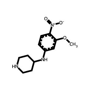 COc1cc(NC2CCNCC2)ccc1[N+](=O)[O-]